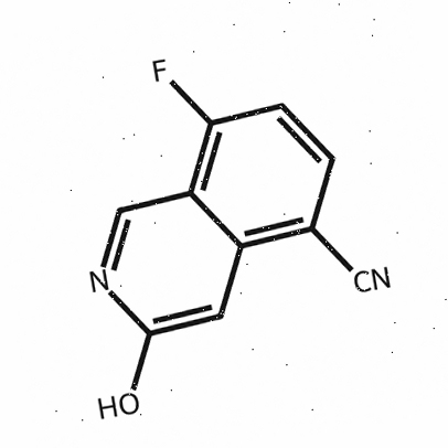 N#Cc1ccc(F)c2cnc(O)cc12